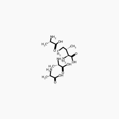 CC[C@H](C)[C@H](N)C(=O)O.C[C@H](N)C(=O)O.C[C@H](N)C(=O)O.C[C@H](N)C(=O)O